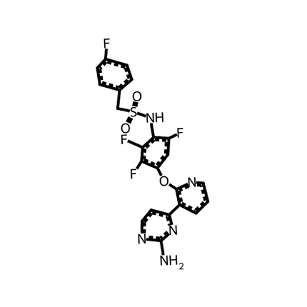 Nc1nccc(-c2cccnc2Oc2cc(F)c(NS(=O)(=O)Cc3ccc(F)cc3)c(F)c2F)n1